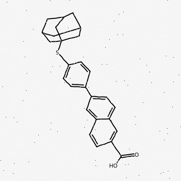 O=C(O)c1ccc2cc(-c3ccc(SC45CC6CC(CC(C6)C4)C5)cc3)ccc2c1